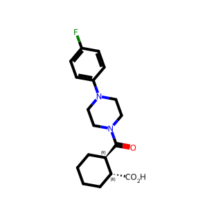 O=C(O)[C@@H]1CCCC[C@H]1C(=O)N1CCN(c2ccc(F)cc2)CC1